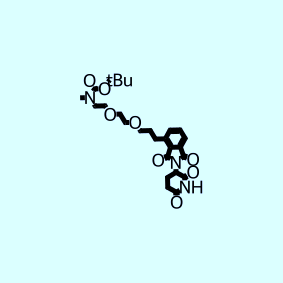 CN(CCOCCOCCCc1cccc2c1C(=O)N(C1CCC(=O)NC1=O)C2=O)C(=O)OC(C)(C)C